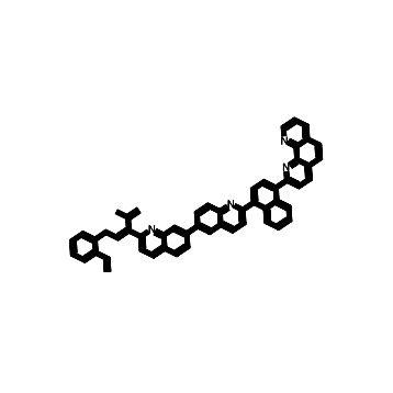 C=Cc1ccccc1C/C=C(\C(=C)C)c1ccc2ccc(-c3ccc4nc(-c5ccc(-c6ccc7ccc8cccnc8c7n6)c6ccccc56)ccc4c3)cc2n1